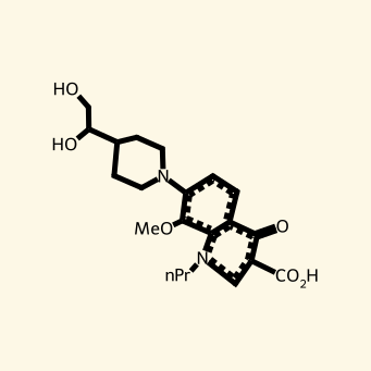 CCCn1cc(C(=O)O)c(=O)c2ccc(N3CCC(C(O)CO)CC3)c(OC)c21